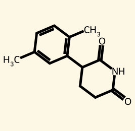 Cc1ccc(C)c(C2CCC(=O)NC2=O)c1